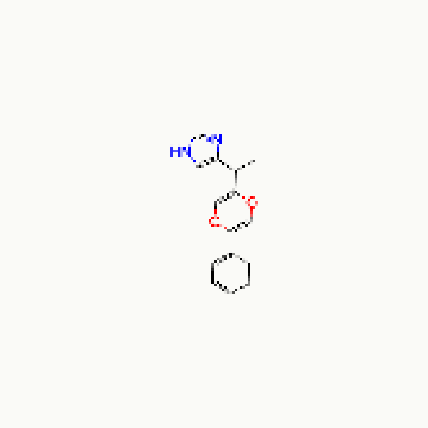 CC(C1=COC(C2=CC=CCC2)=CO1)c1c[nH]cn1